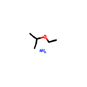 CCO[C](C)C.N